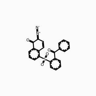 [N-]=[N+]=C1C=Cc2c(cccc2S(=O)(=O)c2ccccc2C(=O)c2ccccc2)C1=O